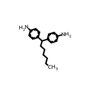 CCCCCCC(c1ccc(N)cc1)c1ccc(N)cc1